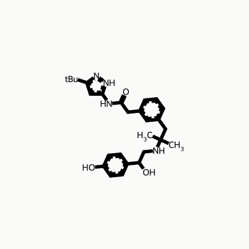 CC(C)(Cc1cccc(CC(=O)Nc2cc(C(C)(C)C)n[nH]2)c1)NCC(O)c1ccc(O)cc1